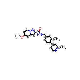 COc1ccn2nc(C(=O)NCc3ccc(-c4ccnc(C)c4)c(C)c3)cc2c1